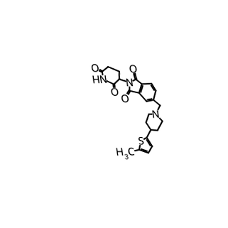 Cc1ccc(C2CCN(Cc3ccc4c(c3)C(=O)N(C3CCC(=O)NC3=O)C4=O)CC2)s1